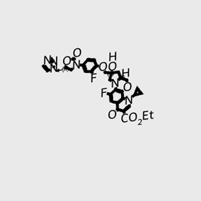 CCOC(=O)c1cn(C2CC2)c2c3c(c(F)cc2c1=O)N1C[C@](O)(COc2ccc(N4C[C@H](Cn5ccnn5)OC4=O)cc2F)C[C@@H]1CO3